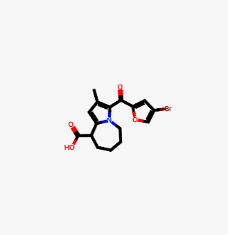 Cc1cc2n(c1C(=O)c1cc(Br)co1)CCCCC2C(=O)O